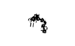 Cn1nc(N2CCC(=O)NC2=O)c2ccc(C3CCN(CC(C)(C)Cc4cccc(S(=O)(=O)N5CCCCC5)c4)CC3)cc21